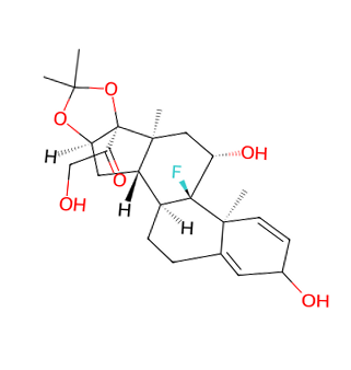 CC1(C)O[C@@H]2C[C@H]3[C@@H]4CCC5=CC(O)C=C[C@]5(C)[C@@]4(F)[C@@H](O)C[C@]3(C)[C@]2(C(=O)CO)O1